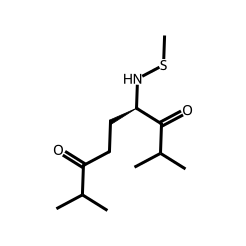 CSN[C@H](CCC(=O)C(C)C)C(=O)C(C)C